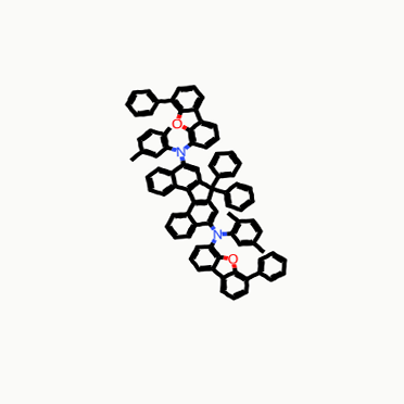 Cc1ccc(C)c(N(c2cc3c(c4ccccc24)-c2c(cc(N(c4cc(C)ccc4C)c4cccc5c4oc4c(-c6ccccc6)cccc45)c4ccccc24)C3(c2ccccc2)c2ccccc2)c2cccc3c2oc2c(-c4ccccc4)cccc23)c1